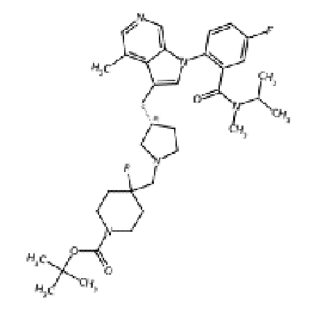 Cc1cncc2c1c(C[C@@H]1CCN(CC3(F)CCN(C(=O)OC(C)(C)C)CC3)C1)cn2-c1ccc(F)cc1C(=O)N(C)C(C)C